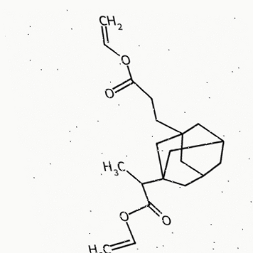 C=COC(=O)CCC12CC3CC(C1)CC(C(C)C(=O)OC=C)(C3)C2